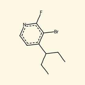 CCC(CC)c1ccnc(F)c1Br